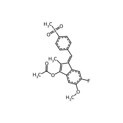 COc1cc2c(cc1F)C(=Cc1ccc(S(C)(=O)=O)cc1)C(C)=C2OC(C)=O